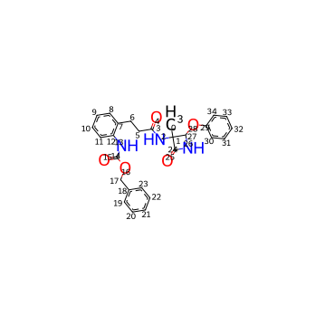 CC1(NC(=O)CCc2ccccc2NC(=O)OCc2ccccc2)C(=O)NC1Oc1ccccc1